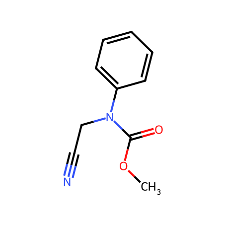 COC(=O)N(CC#N)c1ccccc1